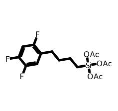 CC(=O)O[Si](CCCCc1cc(F)c(F)cc1F)(OC(C)=O)OC(C)=O